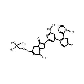 CCNc1cc(-c2ccc(F)cc2-c2nncn2C)cc(N2Cc3c(cc(COCC(C)(C)O)cc3C(F)(F)F)C2=O)n1